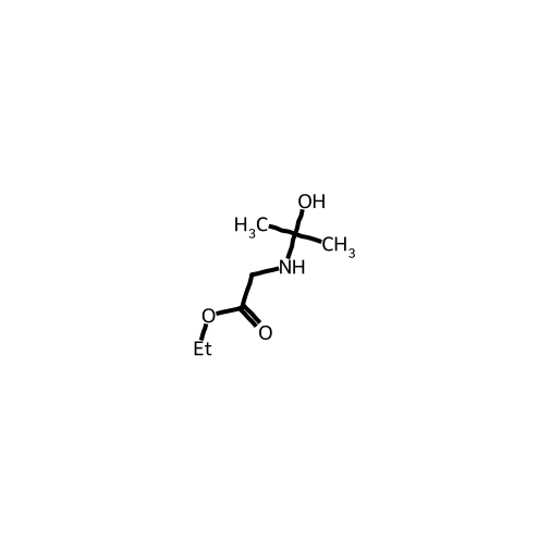 CCOC(=O)CNC(C)(C)O